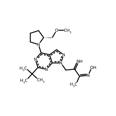 COC[C@H]1CCCN1c1nc(C(C)(C)C)nc2c1cnn2CC(=N)/C(C)=N\O